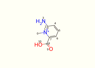 C[n+]1c(N)cccc1C(=O)O